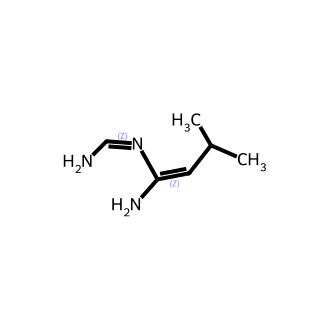 CC(C)/C=C(N)\N=C/N